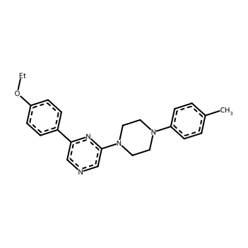 CCOc1ccc(-c2cncc(N3CCN(c4ccc(C)cc4)CC3)n2)cc1